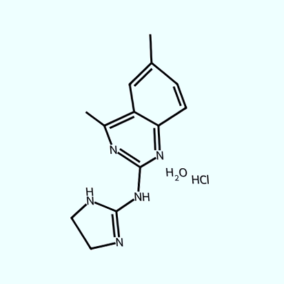 Cc1ccc2nc(NC3=NCCN3)nc(C)c2c1.Cl.O